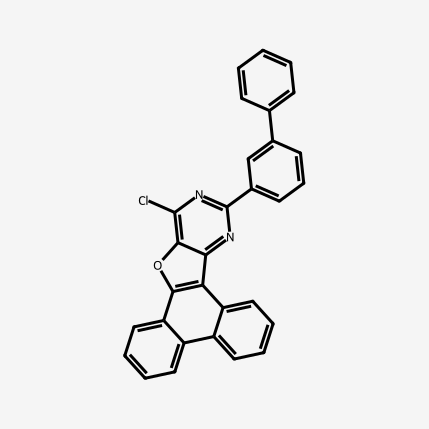 Clc1nc(-c2cccc(-c3ccccc3)c2)nc2c1oc1c3ccccc3c3ccccc3c21